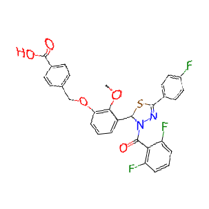 COc1c(OCc2ccc(C(=O)O)cc2)cccc1C1SC(c2ccc(F)cc2)=NN1C(=O)c1c(F)cccc1F